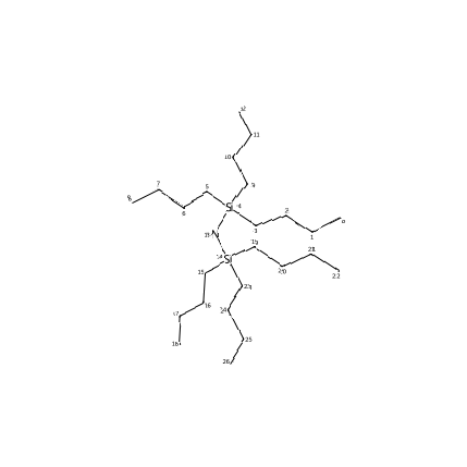 CCCC[Si](CCCC)(CCCC)[N][Si](CCCC)(CCCC)CCCC